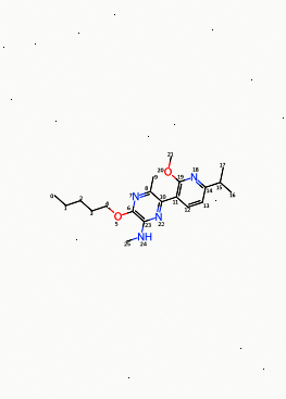 CCCCCOc1nc(C)c(-c2ccc(C(C)C)nc2OC)nc1NC